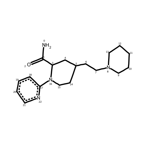 NC(=O)C1CC(CCN2CCCCC2)CCN1c1[c]cccn1